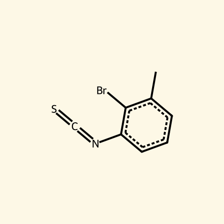 Cc1cccc(N=C=S)c1Br